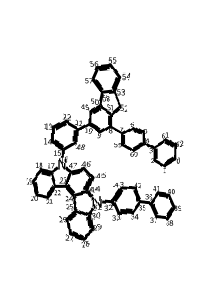 c1ccc(-c2ccc(-c3cc(-c4cccc(-n5c6ccccc6c6c7c8ccccc8n(-c8ccc(-c9ccccc9)cc8)c7ccc65)c4)cc4c3Cc3ccccc3-4)cc2)cc1